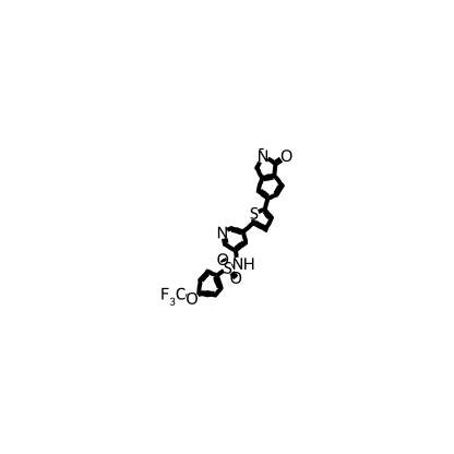 CN1Cc2cc(-c3ccc(-c4cncc(NS(=O)(=O)c5ccc(OC(F)(F)F)cc5)c4)s3)ccc2C1=O